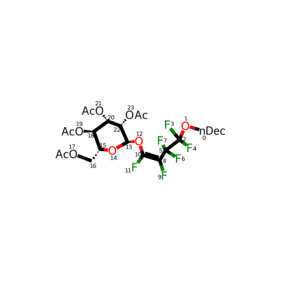 CCCCCCCCCCOC(F)(F)C(F)(F)/C(F)=C(/F)O[C@H]1O[C@H](COC(C)=O)[C@@H](OC(C)=O)[C@H](OC(C)=O)[C@@H]1OC(C)=O